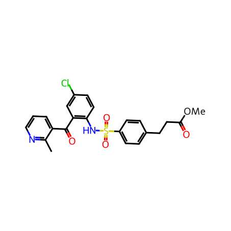 COC(=O)CCc1ccc(S(=O)(=O)Nc2ccc(Cl)cc2C(=O)c2cccnc2C)cc1